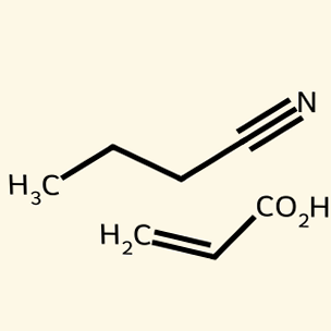 C=CC(=O)O.CCCC#N